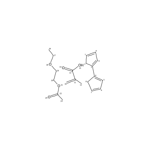 C1=CCC(C2=CC=CC2)=C1.C=C(C)C(=O)O.CCOCCOC(C)=O